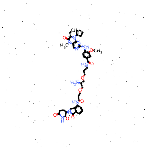 CC[C@@H]1C(=O)N(C)c2cnc(Nc3ccc(C(=O)NCCCOCC(N)COCCC(=O)Nc4cccc5c4CN(C4CCC(=O)NC4=O)C5=O)cc3OC)nc2N1C1CCCC1